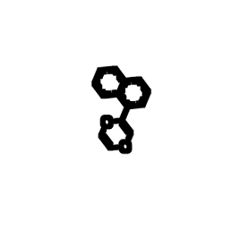 C1=COC(c2cccc3ccccc23)=CO1